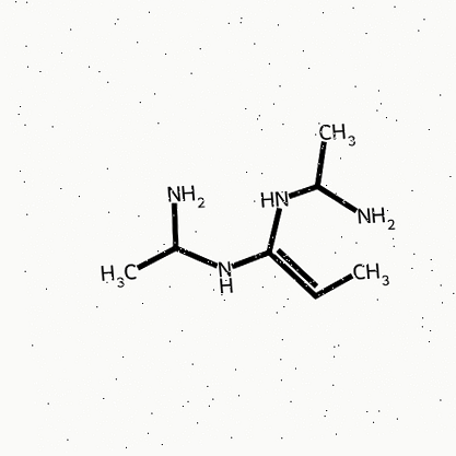 CC=C(NC(C)N)NC(C)N